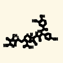 Cn1c(SCC2=C(C(=O)O)N3C(=O)C(NC(=O)C(NC(=O)c4ccc(O)c(O)c4)c4ccc(O)cc4)[C@@H]3SC2)nnc(O)c1=O